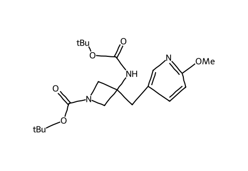 COc1ccc(CC2(NC(=O)OC(C)(C)C)CN(C(=O)OC(C)(C)C)C2)cn1